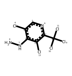 NNc1c(Cl)cnc(C(Cl)(Cl)Cl)c1Cl